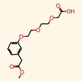 COC(=O)Cc1cccc(OCCOCCOCC(=O)O)c1